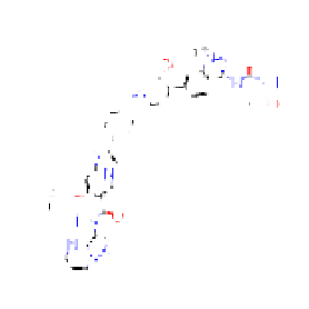 CC(C)Oc1cc2nc([C@H]3CC[C@H](CN4CC[C@H](c5ccc6c(N7CCC(=O)NC7=O)nn(C)c6c5)[C@H](O)C4)CC3)cn2cc1C(=O)Nc1cnn2cccnc12